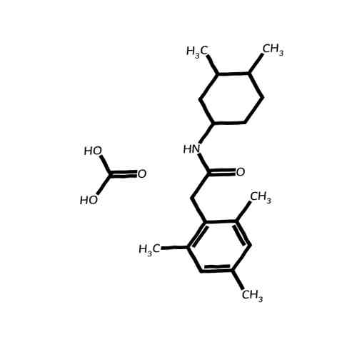 Cc1cc(C)c(CC(=O)NC2CCC(C)C(C)C2)c(C)c1.O=C(O)O